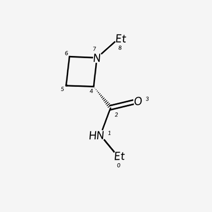 CCNC(=O)[C@@H]1CCN1CC